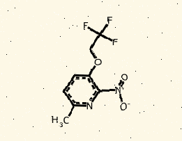 Cc1ccc(OCC(F)(F)F)c([N+](=O)[O-])n1